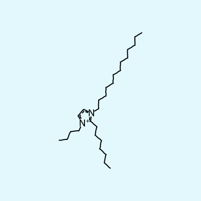 CCCCCCCCCCCCCn1cc[n+](CCCC)c1CCCCCCC